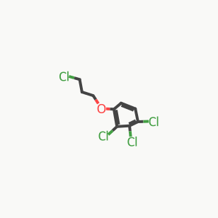 ClCCCOc1ccc(Cl)c(Cl)c1Cl